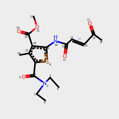 CCN(CC)C(=O)c1sc(NC(=O)/C=C/C(C)=O)c(C(=O)OC)c1C